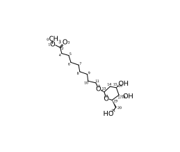 COC(=O)CCCCCCCCO[C@H]1C[C@@H](O)[C@H](O)[C@@H](CO)O1